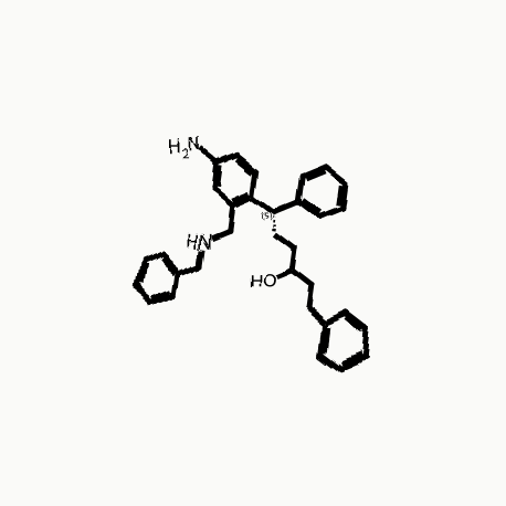 Nc1ccc([C@@H](CCC(O)CCc2ccccc2)c2ccccc2)c(CNCc2ccccc2)c1